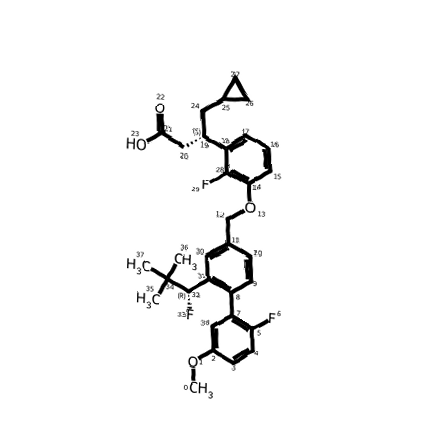 COc1ccc(F)c(-c2ccc(COc3cccc([C@H](CC(=O)O)CC4CC4)c3F)cc2[C@H](F)C(C)(C)C)c1